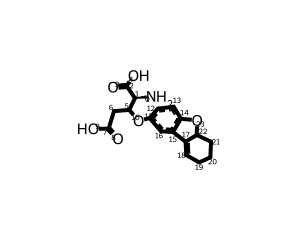 N[C@H](C(=O)O)C(CC(=O)O)Oc1ccc2c(c1)C1=CCCCC1O2